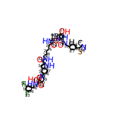 Cc1ncsc1-c1ccc(CNC(=O)[C@@H]2C[C@@H](O)CN2O[C@H](NC(=O)CCCCCNC(=O)c2cc3cc(N4CCC(O)(C(=O)NCc5cc(F)cc(F)c5)O4)ccc3[nH]2)C(C)(C)C)cc1